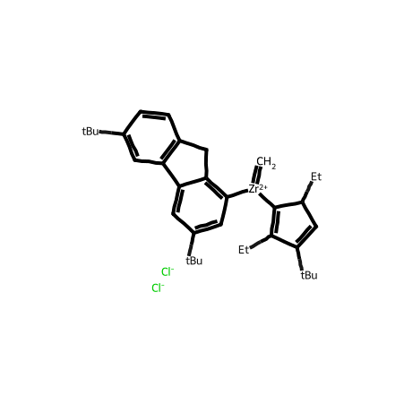 [CH2]=[Zr+2]([C]1=C(CC)C(C(C)(C)C)=CC1CC)[c]1cc(C(C)(C)C)cc2c1Cc1ccc(C(C)(C)C)cc1-2.[Cl-].[Cl-]